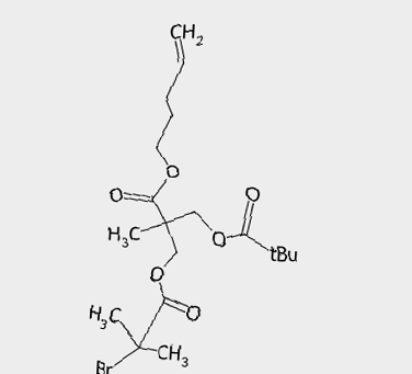 C=CCCCOC(=O)C(C)(COC(=O)C(C)(C)C)COC(=O)C(C)(C)Br